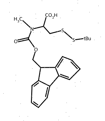 CN(C(=O)OCC1c2ccccc2-c2ccccc21)C(CSSC(C)(C)C)C(=O)O